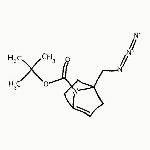 CC(C)(C)OC(=O)N1C2=CCC1(CN=[N+]=[N-])CC2